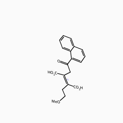 COCC/C(C(=O)O)=C(/CC(=O)c1cccc2ccccc12)C(=O)O